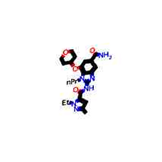 CCCn1c(NC(=O)c2cc(C)nn2CC)nc2cc(C(N)=O)cc(OC3CCOCC3)c21